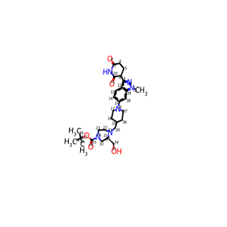 Cn1nc(C2CCC(=O)NC2=O)c2ccc(N3CCC(CN4CCN(C(=O)OC(C)(C)C)C[C@@H]4CO)CC3)cc21